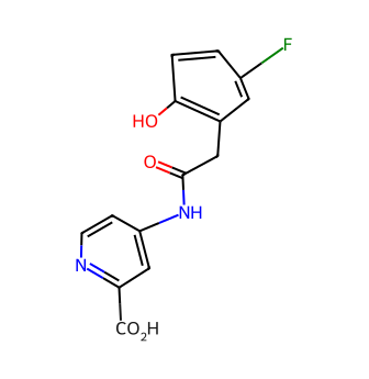 O=C(Cc1cc(F)ccc1O)Nc1ccnc(C(=O)O)c1